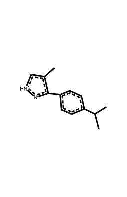 Cc1c[nH]nc1-c1ccc(C(C)C)cc1